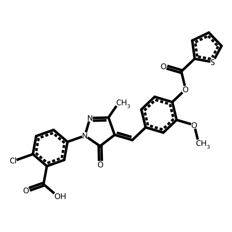 COc1cc(/C=C2/C(=O)N(c3ccc(Cl)c(C(=O)O)c3)N=C2C)ccc1OC(=O)c1cccs1